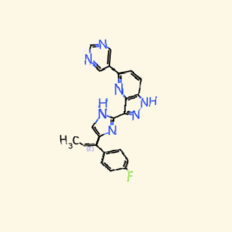 C/C=C(/c1ccc(F)cc1)c1c[nH]c(-c2n[nH]c3ccc(-c4cncnc4)nc23)n1